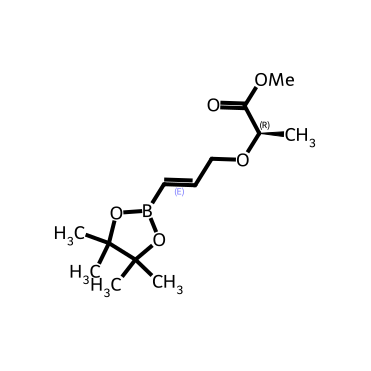 COC(=O)[C@@H](C)OC/C=C/B1OC(C)(C)C(C)(C)O1